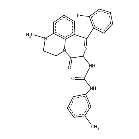 Cc1cccc(NC(=O)NC2N=C(c3ccccc3F)c3cccc4c3N(CCN4C)C2=O)c1